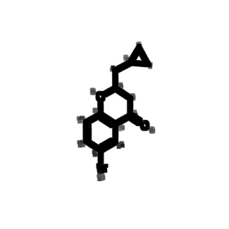 O=C1CC(CC2CC2)Oc2ccc(Br)cc21